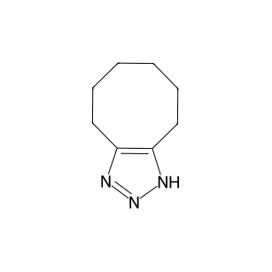 C1CCCc2[nH]nnc2CC1